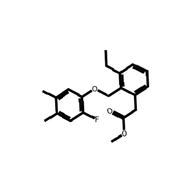 CCc1cccc(CC(=O)OC)c1COc1cc(C)c(C)cc1F